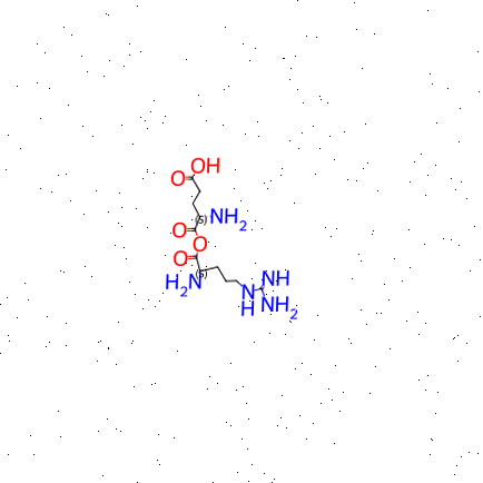 N=C(N)NCCC[C@H](N)C(=O)OC(=O)[C@@H](N)CCC(=O)O